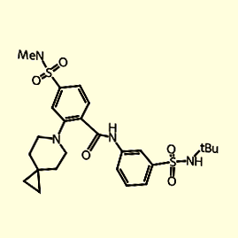 CNS(=O)(=O)c1ccc(C(=O)Nc2cccc(S(=O)(=O)NC(C)(C)C)c2)c(N2CCC3(CC2)CC3)c1